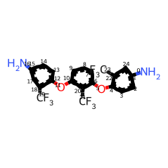 Nc1ccc(Oc2cccc(Oc3ccc(N)cc3C(F)(F)F)c2C(F)(F)F)c(C(F)(F)F)c1